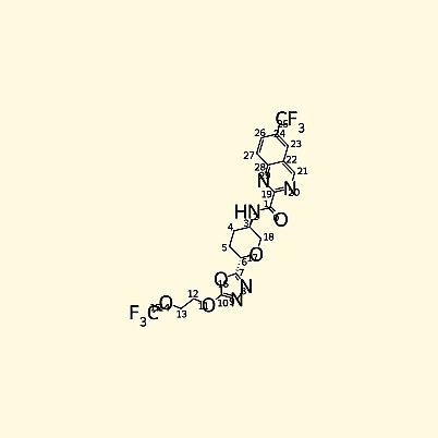 O=C(N[C@@H]1CC[C@@H](c2nnc(OCCOC(F)(F)F)o2)OC1)c1ncc2cc(C(F)(F)F)ccc2n1